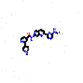 CN1CC=C(c2cc(C(=O)Nc3cc4nc(-c5cncc(NC(C)(C)C)n5)ccc4cn3)ccn2)CC1